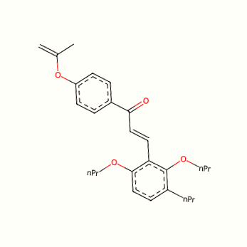 C=C(C)Oc1ccc(C(=O)C=Cc2c(OCCC)ccc(CCC)c2OCCC)cc1